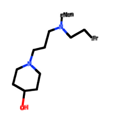 CCCCCCCCCN(CCCN1CCC(O)CC1)CCC(C)C